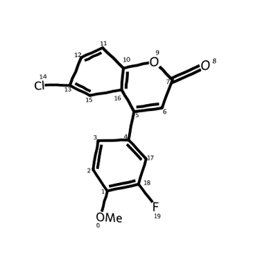 COc1ccc(-c2cc(=O)oc3ccc(Cl)cc23)cc1F